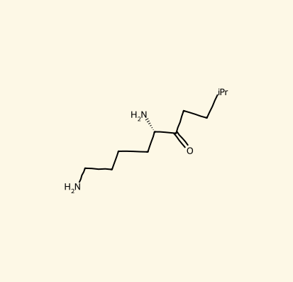 CC(C)CCC(=O)[C@@H](N)CCCCN